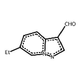 CCc1ccc2c(C=O)cnn2c1